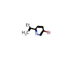 C=C(CC)c1ccc(Br)cn1